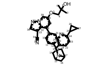 CC(C)(O)COc1cc(-c2ccc(N3CC4CC(C3)N4Cc3ccc(C4CC4)nc3)nc2)c2c(C#N)cnn2c1